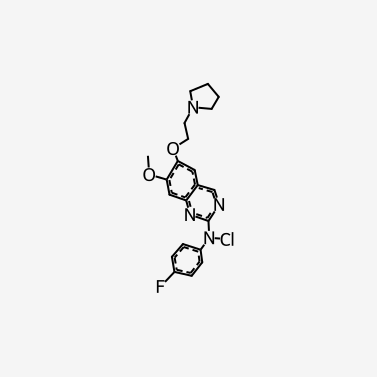 COc1cc2nc(N(Cl)c3ccc(F)cc3)ncc2cc1OCCN1CCCC1